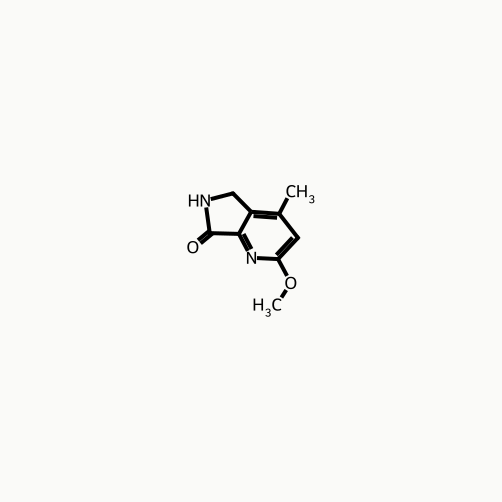 COc1cc(C)c2c(n1)C(=O)NC2